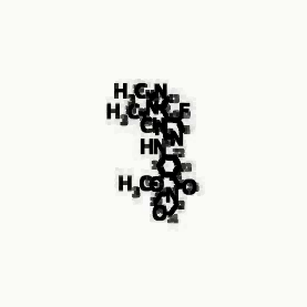 COc1cc(Nc2ncc(F)c(-c3cnc(C)n3C(C)C)n2)ccc1C(=O)N1CCOCC1